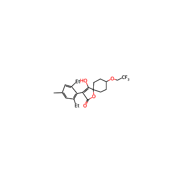 CCc1cc(C)cc(CC)c1C1=C(O)C2(CCC(OCC(F)(F)F)CC2)OC1=O